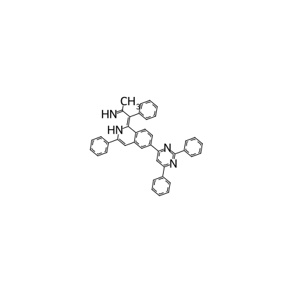 CC(=N)/C(=C1\NC(c2ccccc2)=Cc2cc(-c3cc(-c4ccccc4)nc(-c4ccccc4)n3)ccc21)c1ccccc1